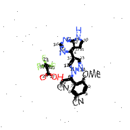 COc1ccc(C#N)cc1C(CC#N)n1cc(-c2ncnc3[nH]ccc23)cn1.O=C(O)C(F)(F)F